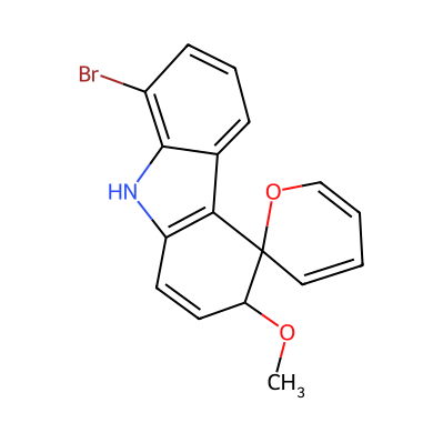 COC1C=Cc2[nH]c3c(Br)cccc3c2C12C=CC=CO2